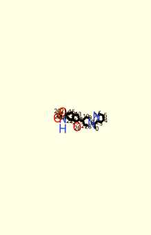 CC(c1ccccn1)N1CCC(C2Cc3ccc(NS(C)(=O)=O)cc3C2=O)CC1